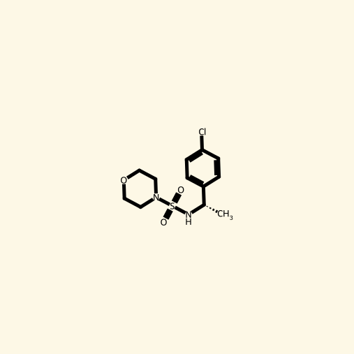 C[C@H](NS(=O)(=O)N1CCOCC1)c1ccc(Cl)cc1